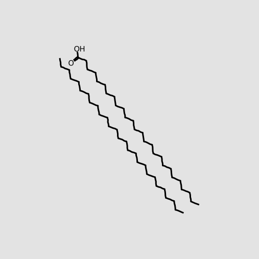 CCCCCCCCCCCCCCCCCCCCCCCCCC(=O)O.CCCCCCCCCCCCCCCCCCCCCCCCCCC